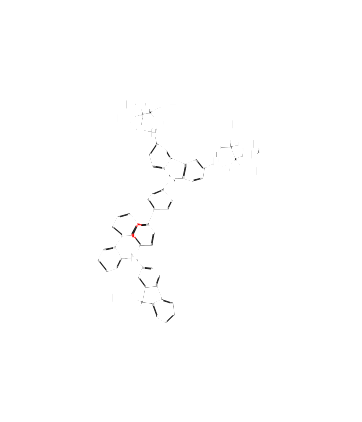 CC1(C)c2ccccc2-c2ccc(N(c3ccc(-c4ccc(-n5c6ccc(B7OC(C)(C)C(C)(C)O7)cc6c6cc(B7OC(C)(C)C(C)(C)O7)ccc65)cc4)cc3)c3ccccc3-c3ccccc3)cc21